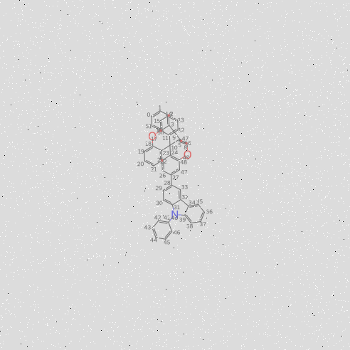 c1ccc(-c2cccc3c2C2(c4ccccc4Oc4ccccc42)c2ccc(-c4ccc5c(c4)c4ccccc4n5-c4ccccc4)cc2O3)cc1